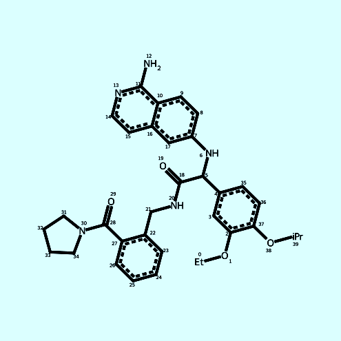 CCOc1cc(C(Nc2ccc3c(N)nccc3c2)C(=O)NCc2ccccc2C(=O)N2CCCC2)ccc1OC(C)C